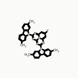 CC1=C=C=c2c(n(C3=NC4=NC(n5c6cc(C)ccc6c6ccc(C)cc65)=NC5=CC(F)=CC(=N3)N54)c3cc(C)ccc23)=C1